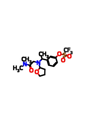 CC(c1cccc(OS(=O)(=O)C(F)(F)F)c1)N(CC(=O)N(C)C)C1CCCO1